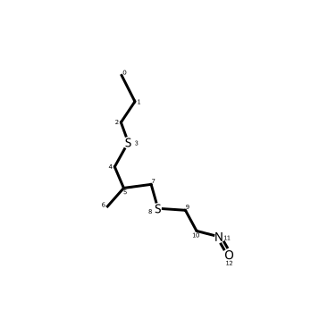 CCCSCC(C)CSCCN=O